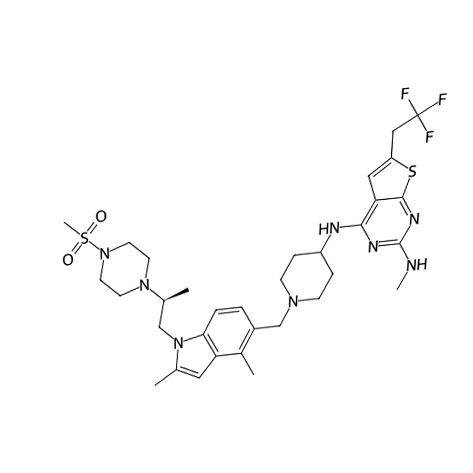 CNc1nc(NC2CCN(Cc3ccc4c(cc(C)n4C[C@H](C)N4CCN(S(C)(=O)=O)CC4)c3C)CC2)c2cc(CC(F)(F)F)sc2n1